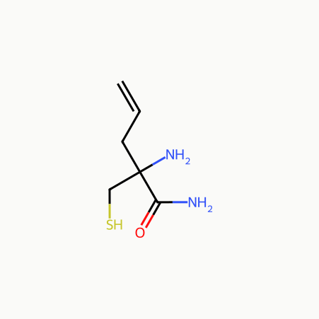 C=CCC(N)(CS)C(N)=O